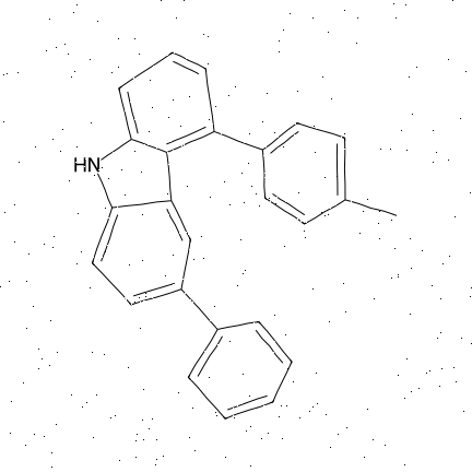 Cc1ccc(-c2cccc3[nH]c4ccc(-c5ccccc5)cc4c23)cc1